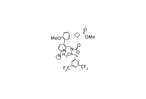 COc1ccc([C@H]2C[C@@H](C(=O)OC)C2)cc1-c1ccc(N2CCC2)nc1CN1C(=O)O[C@H](c2cc(C(F)(F)F)cc(C(F)(F)F)c2)[C@@H]1C